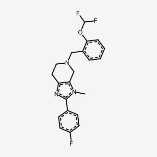 Cn1c(-c2ccc(F)cc2)nc2c1CN(Cc1ccccc1OC(F)F)CC2